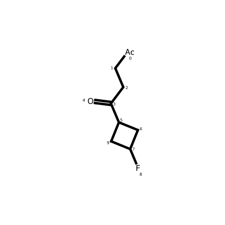 CC(=O)CCC(=O)C1CC(F)C1